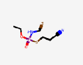 CCOP(=O)(NC=S)SCCC#N